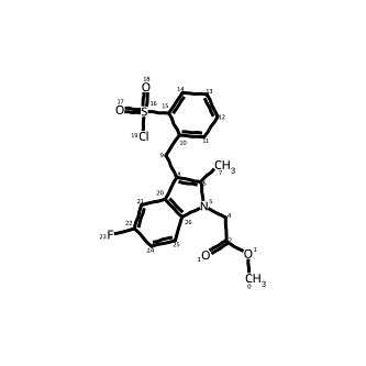 COC(=O)Cn1c(C)c(Cc2ccccc2S(=O)(=O)Cl)c2cc(F)ccc21